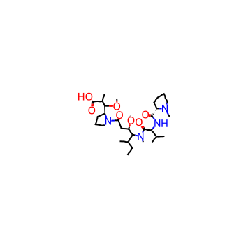 CCC(C)C(C(CC(=O)N1CCC[C@H]1C(OC)C(C)C(=O)O)OC)N(C)C(=O)C(NC(=O)[C@@H]1CCCCN1C)C(C)C